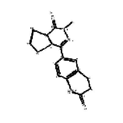 CN1N=C(c2ccc3c(c2)CCC(=O)N3)C2CCCC2C1=O